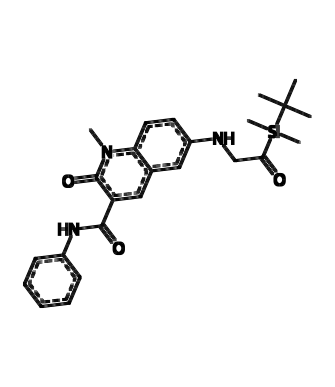 Cn1c(=O)c(C(=O)Nc2ccccc2)cc2cc(NCC(=O)[Si](C)(C)C(C)(C)C)ccc21